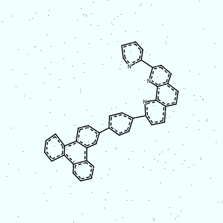 c1ccc(-c2ccc3ccc4ccc(-c5ccc(-c6ccc7c8ccccc8c8ccccc8c7c6)cc5)nc4c3n2)nc1